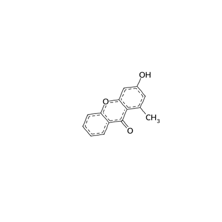 Cc1cc(O)cc2oc3ccccc3c(=O)c12